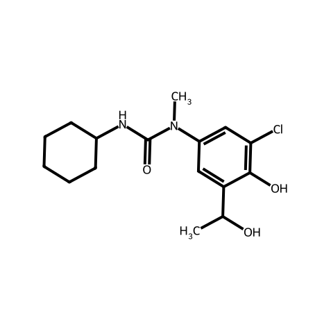 CC(O)c1cc(N(C)C(=O)NC2CCCCC2)cc(Cl)c1O